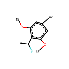 CCOc1cc(C(C)=O)cc(OCC)c1[C@H](C)F